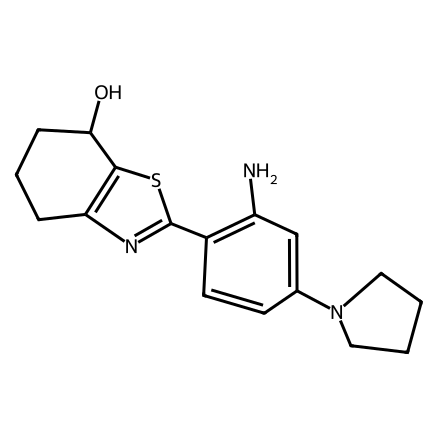 Nc1cc(N2CCCC2)ccc1-c1nc2c(s1)C(O)CCC2